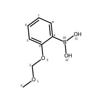 COCOc1ccccc1B(O)O